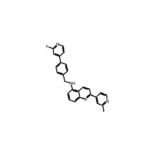 Cc1cc(-c2ccc3c(NCc4ccc(-c5ccnc(F)c5)cc4)cccc3n2)ccn1